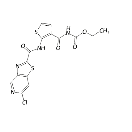 CCOC(=O)NC(=O)c1ccsc1NC(=O)c1nc2cnc(Cl)cc2s1